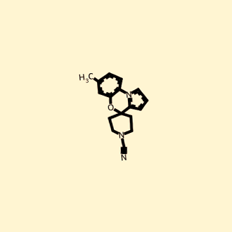 Cc1ccc2c(c1)OC1(CCN(C#N)CC1)c1cccn1-2